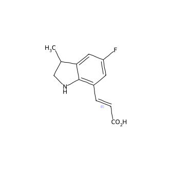 CC1CNc2c(/C=C/C(=O)O)cc(F)cc21